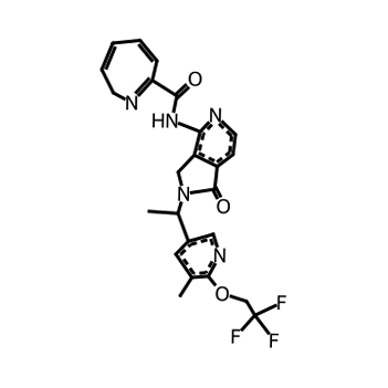 Cc1cc(C(C)N2Cc3c(ccnc3NC(=O)C3=NCC=CC=C3)C2=O)cnc1OCC(F)(F)F